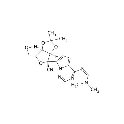 CN(C)/C=N\c1ncnn2c([C@]3(C#N)O[C@H](CO)[C@H]4OC(C)(C)O[C@H]43)ccc12